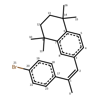 CC(=Cc1ccc2c(c1)C(C)(C)CCC2(C)C)c1ccc(Br)cc1